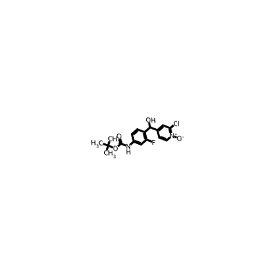 CC(C)(C)OC(=O)Nc1ccc(C(O)c2cc[n+]([O-])c(Cl)c2)c(F)c1